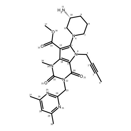 CC#CCn1c(N2CCC[C@@H](N)C2)c(C(=O)OC)c2c1c(=O)n(Cc1nc(C)cc(C)n1)c(=O)n2C